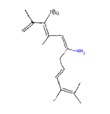 C=C(C)/C(CCCC)=C(C)/C=C(/N)C/C=C/C(C)=C(C)C